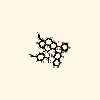 N#Cc1ccc(C(=O)Oc2c(-c3c(-c4ccccc4)cc4ccccc4c3OC(=O)c3ccc(C#N)cc3)c(-c3ccccc3)cc3ccccc23)cc1